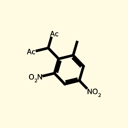 CC(=O)C(C(C)=O)c1c(C)cc([N+](=O)[O-])cc1[N+](=O)[O-]